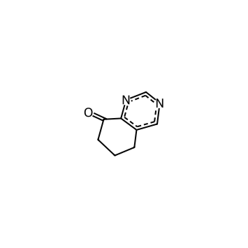 O=C1CCCc2cncnc21